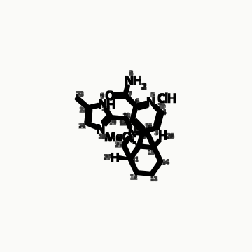 CO[C@@]1(c2ccnc(C(N)=O)c2)[C@@H]2CCC[C@H]1CN(Cc1ncc(C)[nH]1)C2.Cl